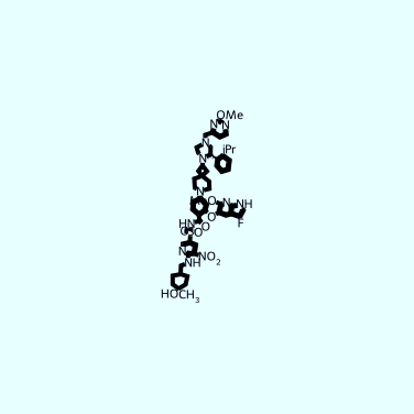 COc1nccc(CN2CCN(C3CC4(CCN(c5ccc(C(=O)NS(=O)(=O)c6cnc(NCC7CCC(C)(O)CC7)c([N+](=O)[O-])c6)c(Oc6cc7c(F)c[nH]c7nc6OC)c5)CC4)C3)[C@H](c3ccccc3C(C)C)C2)n1